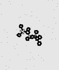 c1ccc(-c2nc(-c3ccccc3)nc(-c3cc(-n4c5ccccc5c5cc6c7cc(-c8ccccc8)c8ccccc8c7n(-c7ccccc7)c6cc54)cc4ccccc34)n2)cc1